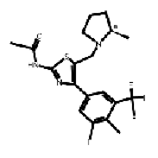 CC(=O)Nc1nc(-c2cc(F)c(C)c(C(F)(F)F)c2)c(CN2CCC[C@H]2C)s1